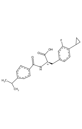 CC(C)c1ccc(C(=O)N[C@H](Cc2ccc(C3CC3)c(F)c2)C(=O)O)cc1